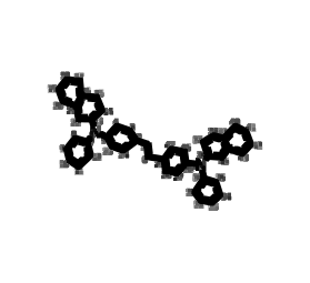 C(=Cc1ccc(N(c2ccccc2)c2ccc3ccccc3c2)cc1)c1ccc(N(c2ccccc2)c2ccc3ccccc3c2)cc1